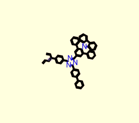 C=C/C=C(\C=C)c1ccc(-c2nc(-c3ccc(-c4ccccc4)cc3)nc(-c3cc(C4=CCCC=C4)c(-n4c5ccccc5c5ccccc54)c(-c4ccccc4)c3)n2)cc1